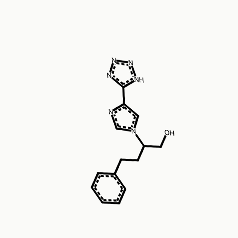 OCC(CCc1ccccc1)n1cnc(-c2nnn[nH]2)c1